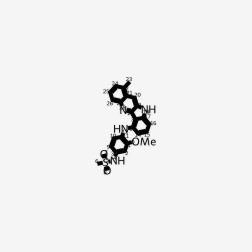 COc1cc(NS(C)(=O)=O)ccc1Nc1cccc2[nH]c3cc4c(C)cccc4nc3c12